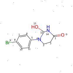 O=C1CCN(c2ccc(Br)cc2)C(O)N1